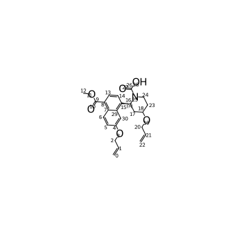 C=CCOc1ccc2c(C(=O)OC)ccc([C@@H]3CC(OCC=C)CCN3C(=O)O)c2c1